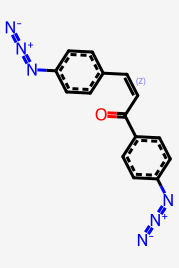 [N-]=[N+]=Nc1ccc(/C=C\C(=O)c2ccc(N=[N+]=[N-])cc2)cc1